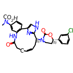 CN(C(=O)O)c1ccc2c(c1)NC(=O)CCC=CC[C@H](N1CC[C@@H](c3cccc(Cl)c3)OC1=O)c1nc-2c[nH]1